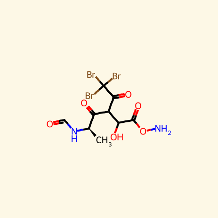 C[C@@H](NC=O)C(=O)C(C(=O)C(Br)(Br)Br)C(O)C(=O)ON